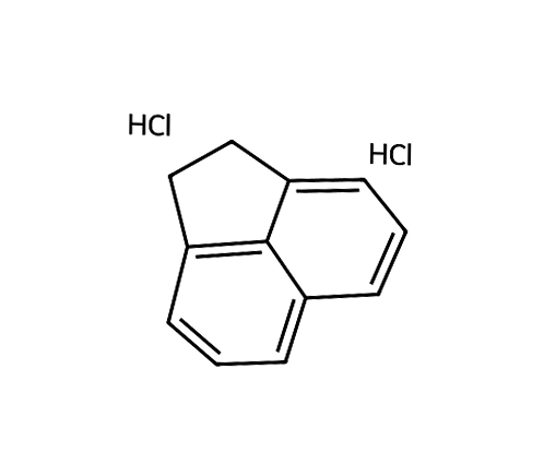 Cl.Cl.c1cc2c3c(cccc3c1)CC2